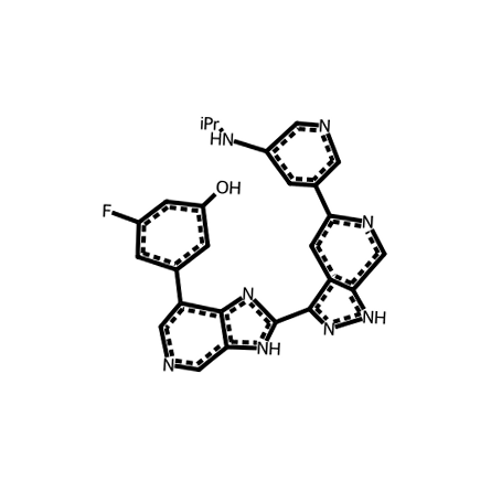 CC(C)Nc1cncc(-c2cc3c(-c4nc5c(-c6cc(O)cc(F)c6)cncc5[nH]4)n[nH]c3cn2)c1